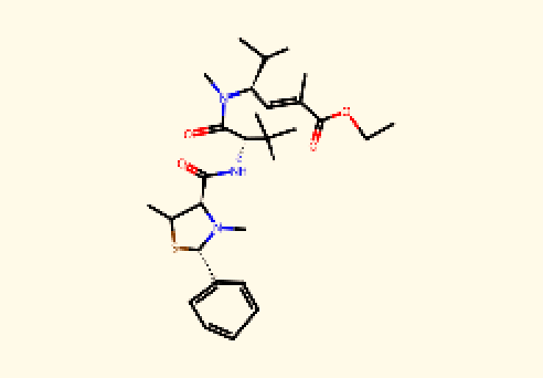 CCOC(=O)/C(C)=C/[C@H](C(C)C)N(C)C(=O)[C@@H](NC(=O)[C@@H]1C(C)S[C@@H](c2ccccc2)N1C)C(C)(C)C